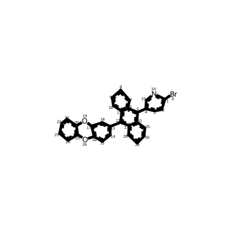 Brc1ccc(-c2c3ccccc3c(-c3ccc4c(c3)Oc3ccccc3O4)c3ccccc23)cn1